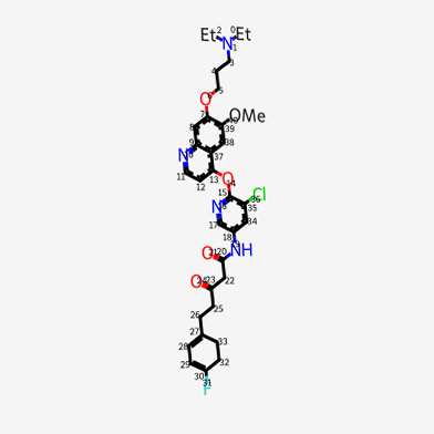 CCN(CC)CCCOc1cc2nccc(Oc3ncc(NC(=O)CC(=O)CCC4=CC=C(F)CC4)cc3Cl)c2cc1OC